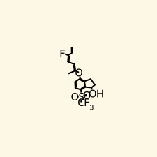 C=C/C(F)=C\C=C(/C)Oc1ccc(S(=O)(=O)C(F)(F)F)c2c1CCC2O